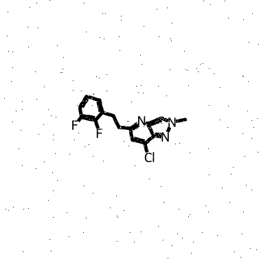 Cn1cc2nc(CCc3cccc(F)c3F)cc(Cl)c2n1